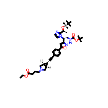 CCOC(=O)CCCN1C[C@@H]2[C@@H](C#Cc3ccc(-c4cc([C@@H](CNC(=O)OC(C)(C)C)n5ccnc5[C@H](C)O[Si](C)(C)C(C)(C)C)no4)cc3)[C@@H]2C1